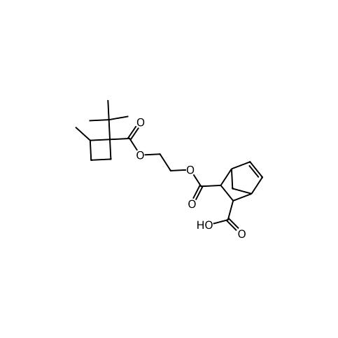 CC1CCC1(C(=O)OCCOC(=O)C1C2C=CC(C2)C1C(=O)O)C(C)(C)C